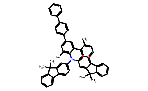 Cc1ccccc1-c1cc(-c2ccc(-c3ccccc3)cc2)cc(C)c1N(c1ccc2c(c1)C(C)(C)c1ccccc1-2)c1ccc2c(c1)C(C)(C)c1ccccc1-2